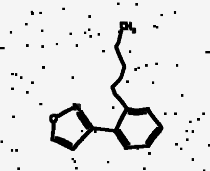 CCCCc1ccccc1-c1ccon1